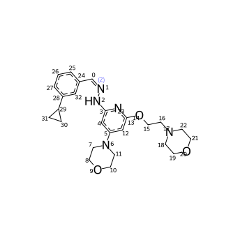 C(=N/Nc1cc(N2CCOCC2)cc(OCCN2CCOCC2)n1)/c1cccc(C2CC2)c1